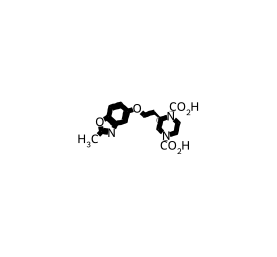 Cc1nc2cc(OCC[C@@H]3CN(C(=O)O)CCN3C(=O)O)ccc2o1